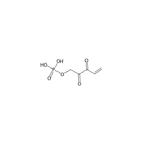 C=CC(=O)C(=O)COP(=O)(O)O